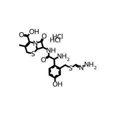 CC1=C(C(=O)O)N2C(=O)C(NC(=O)C(N)c3ccc(O)cc3CSC=NN)C2SC1.Cl.Cl